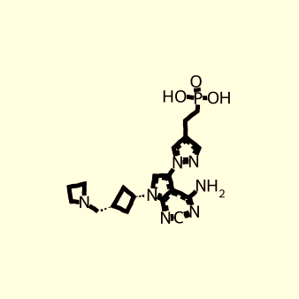 Nc1ncnc2c1c(-n1cc(CCP(=O)(O)O)cn1)cn2[C@H]1C[C@@H](CN2CCC2)C1